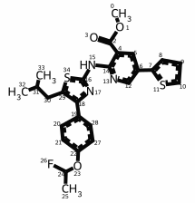 COC(=O)c1cc(-c2cccs2)cnc1Nc1nc(-c2ccc(OC(C)F)cc2)c(CC(C)C)s1